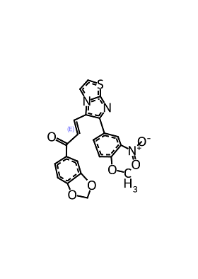 COc1ccc(-c2nc3sccn3c2/C=C/C(=O)c2ccc3c(c2)OCO3)cc1[N+](=O)[O-]